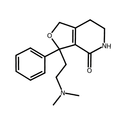 CN(C)CCC1(c2ccccc2)OCC2=C1C(=O)NCC2